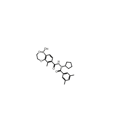 Cc1cc(C)cc(C(=O)N(NC(=O)c2ccc3c(c2C)OCCOB3O)C2CCCC2)c1